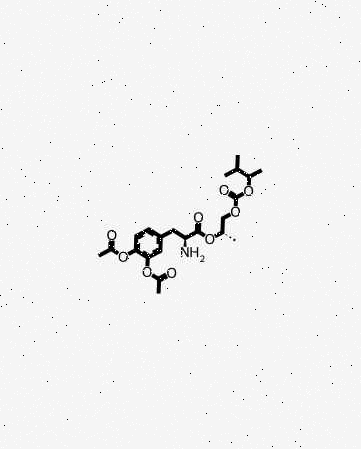 CC(=O)Oc1ccc(C[C@H](N)C(=O)O[C@@H](C)COC(=O)OC(C)C(C)C)cc1OC(C)=O